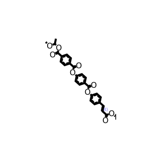 COC(C)OC(=O)c1ccc(C(=O)Oc2ccc(C(=O)Oc3ccc(/C=C/C(=O)OI)cc3)cc2)cc1